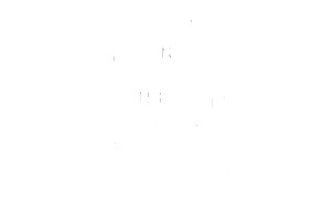 CN(C)CCC1(F)C=CC=CC1C(N)=O